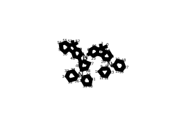 CC1(C)c2ccc(N(c3ccccc3)c3ccccc3)cc2-c2cc(-n3c4ccc(N(c5ccccc5)c5ccccc5)cc4c4cc5c(cc43)C(C)(C)c3ccccc3-5)ccc21